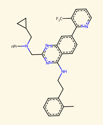 CCCN(Cc1nc(NCCc2ccccc2C)c2ccc(-c3ncccc3C(F)(F)F)cc2n1)CC1CC1